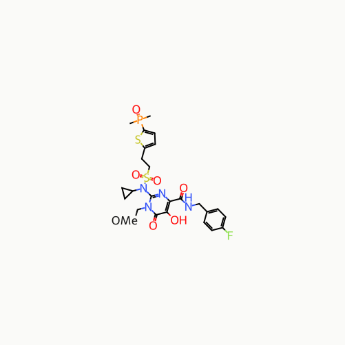 COCn1c(N(C2CC2)S(=O)(=O)CCc2ccc(P(C)(C)=O)s2)nc(C(=O)NCc2ccc(F)cc2)c(O)c1=O